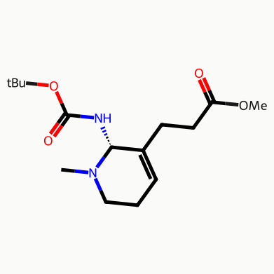 COC(=O)CCC1=CCCN(C)[C@@H]1NC(=O)OC(C)(C)C